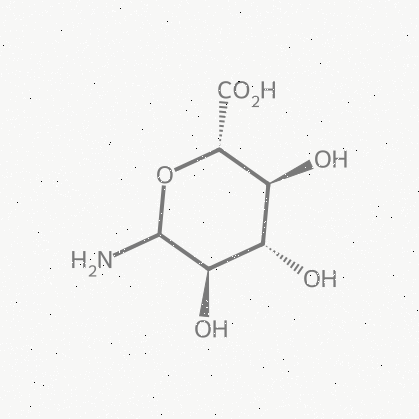 NC1O[C@H](C(=O)O)[C@@H](O)[C@H](O)[C@H]1O